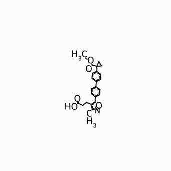 CCOC(=O)C1(c2ccc(-c3ccc(-c4onc(C)c4CCC(=O)O)cc3)cc2)CC1